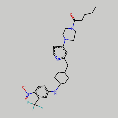 CCCCC(=O)N1CCN(c2ccnc(CC3CCC(Nc4ccc([N+](=O)[O-])c(C(F)(F)F)c4)CC3)c2)CC1